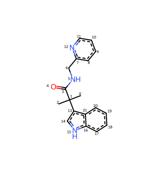 CC(C)(C(=O)NCc1ccccn1)c1c[nH]c2ccccc12